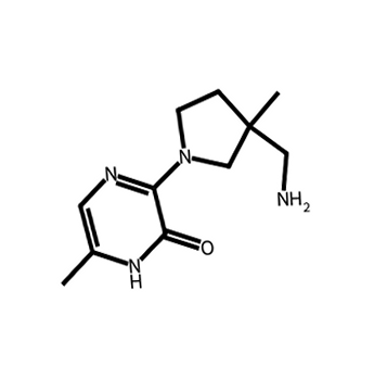 Cc1cnc(N2CCC(C)(CN)C2)c(=O)[nH]1